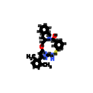 Cc1cccc(C)c1-c1cc2nc(n1)NSc1cccc(c1)C(=O)N1Cc3ccccc3CC1CO2